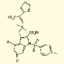 CCOC(=O)c1c(CC(C)(C)/C=C(\C(=O)O)c2ccco2)c2c(Cl)cc(Cl)cc2n1S(=O)(=O)c1ccc(C)cc1